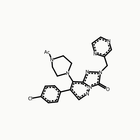 CC(=O)N1CCN(c2c(-c3ccc(Cl)cc3)cnn3c(=O)n(Cc4cnccn4)nc23)CC1